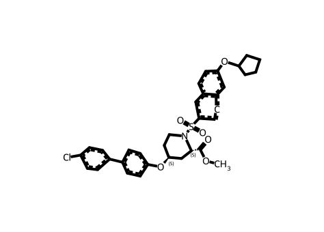 COC(=O)[C@@H]1C[C@@H](Oc2ccc(-c3ccc(Cl)cc3)cc2)CCN1S(=O)(=O)c1ccc2cc(OC3CCCC3)ccc2c1